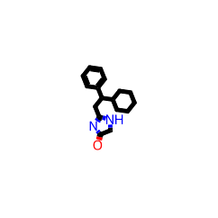 O=C1CNC(CC(c2ccccc2)C2CCCCC2)=N1